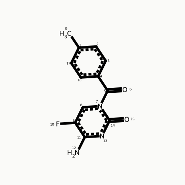 Cc1ccc(C(=O)n2cc(F)c(N)nc2=O)cc1